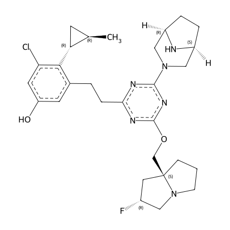 C[C@@H]1C[C@H]1c1c(Cl)cc(O)cc1CCc1nc(OC[C@@]23CCCN2C[C@H](F)C3)nc(N2C[C@H]3CC[C@@H](C2)N3)n1